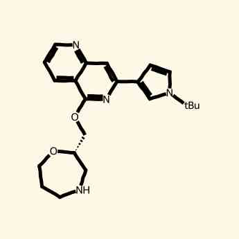 CC(C)(C)n1ccc(-c2cc3ncccc3c(OC[C@@H]3CNCCCO3)n2)c1